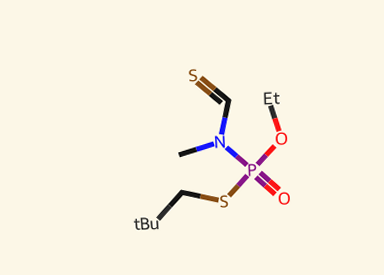 CCOP(=O)(SCC(C)(C)C)N(C)C=S